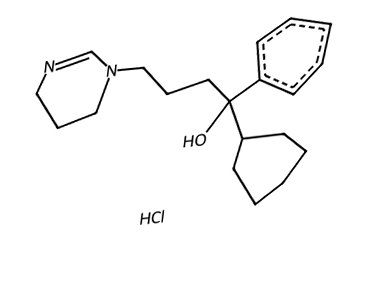 Cl.OC(CCCN1C=NCCC1)(c1ccccc1)C1CCCCC1